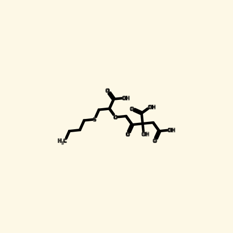 CCCCSCC(OCC(=O)C(O)(CC(=O)O)C(=O)O)C(=O)O